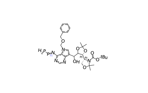 CC(C)(C)OC(=O)N1[C@@H]([C@H]2OC(C)(C)OC2C(O)c2cn(COCc3ccccc3)c3c(/N=P/P)ncnc23)COC1(C)C